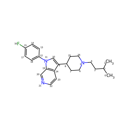 CC(C)CCN1CCC(c2cn(-c3ccc(F)cc3)c3cnccc23)CC1